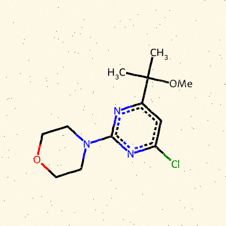 COC(C)(C)c1cc(Cl)nc(N2CCOCC2)n1